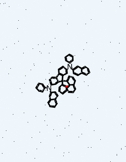 c1ccc(N(c2ccc3c(c2)C(c2ccccc2)(c2cccc4ccccc24)c2cc(N(c4ccccc4)c4ccc5ccccc5c4)ccc2-3)c2ccc3ccccc3c2)cc1